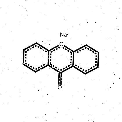 O=c1c2ccccc2oc2ccccc12.[Na]